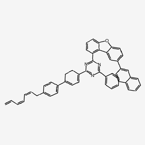 C=C/C=C\C=C/Cc1ccc(C2=CC=C(c3nc(-c4ccccc4)nc(-c4cccc5oc6ccc(-c7ccc8ccccc8c7)cc6c45)n3)CC2)cc1